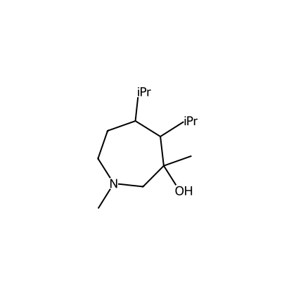 CC(C)C1CCN(C)CC(C)(O)C1C(C)C